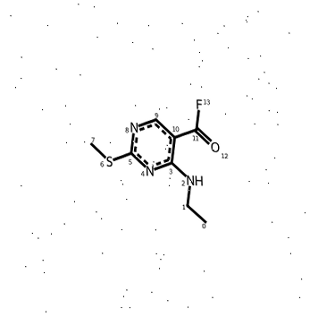 CCNc1nc(SC)ncc1C(=O)F